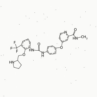 CNC(=O)c1cc(Oc2ccc(NC(=O)Nc3cccc(C(F)(F)F)c3OCC3CCCN3)cc2)ccn1